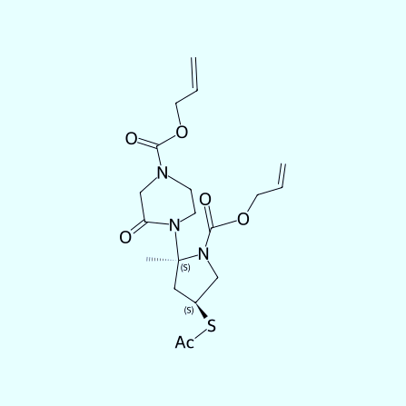 C=CCOC(=O)N1CCN([C@]2(C)C[C@H](SC(C)=O)CN2C(=O)OCC=C)C(=O)C1